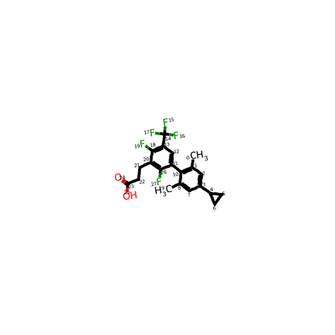 Cc1cc(C2CC2)cc(C)c1-c1cc(C(F)(F)F)c(F)c(CCC(=O)O)c1F